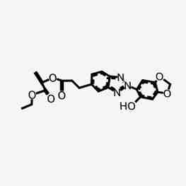 C=C(OC(=O)CCc1ccc2nn(-c3cc4c(cc3O)OCO4)nc2c1)C(=O)OCC